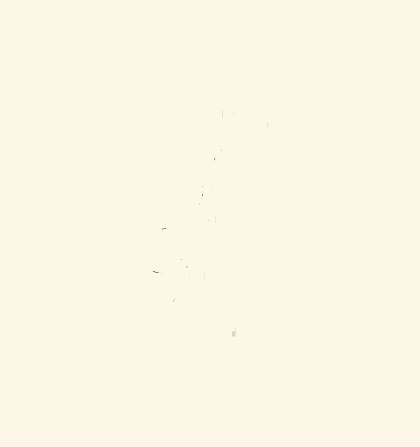 CCC(O)C(=O)O[C@H]1CC[C@@]2(C)C(=CC[C@H]3[C@@H]4CC[C@H]([C@H](C)CCCC(C)C)[C@@]4(C)CC[C@@H]32)C1